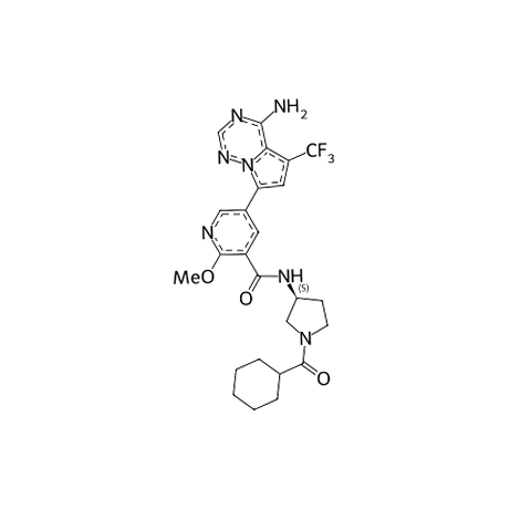 COc1ncc(-c2cc(C(F)(F)F)c3c(N)ncnn23)cc1C(=O)N[C@H]1CCN(C(=O)C2CCCCC2)C1